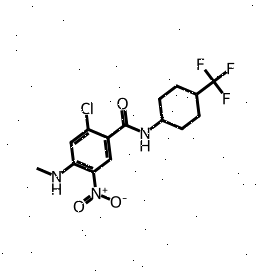 CNc1cc(Cl)c(C(=O)NC2CCC(C(F)(F)F)CC2)cc1[N+](=O)[O-]